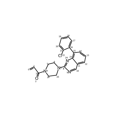 C=CC(=O)N1CCN(c2ncc3cccc(-c4ccccc4Cl)c3n2)CC1